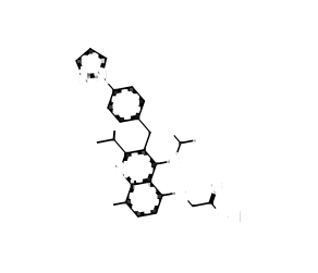 CC(C)c1nc2c(F)ccc(OCC(=O)O)c2c(OC(F)F)c1Cc1ccc(-n2cccn2)cc1